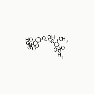 CCc1cc(C(C)=O)c(O)cc1OCC(O)COc1ccc2c(O)c([N+](=O)[O-])c(=O)oc2c1